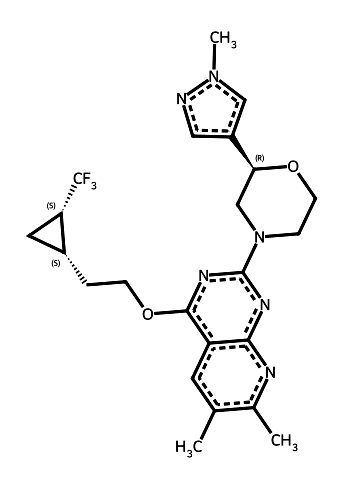 Cc1cc2c(OCC[C@@H]3C[C@@H]3C(F)(F)F)nc(N3CCO[C@H](c4cnn(C)c4)C3)nc2nc1C